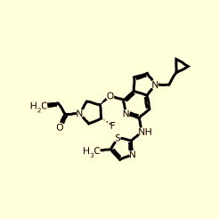 C=CC(=O)N1C[C@@H](F)[C@H](Oc2nc(Nc3ncc(C)s3)cc3c2ccn3CC2CC2)C1